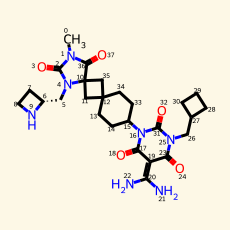 CN1C(=O)N(C[C@H]2CCN2)C2(CC3(CCC(N4C(=O)C(=C(N)N)C(=O)N(CC5CCC5)C4=O)CC3)C2)C1=O